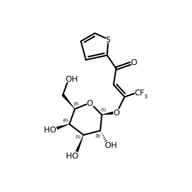 O=C(C=C(O[C@@H]1O[C@H](CO)[C@H](O)[C@H](O)[C@H]1O)C(F)(F)F)c1cccs1